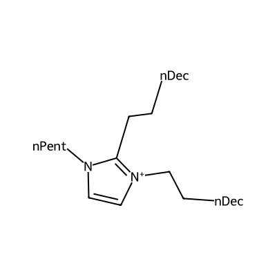 CCCCCCCCCCCCc1n(CCCCC)cc[n+]1CCCCCCCCCCCC